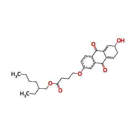 CCCCC(CC)COC(=O)CCCOc1ccc2c(c1)C(=O)C1=CCC(O)C=C1C2=O